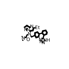 CCc1cc(N(CC(=O)N(C)C)Cc2ccc(-c3ccccc3-c3nnn[nH]3)cc2)n2nccc2n1